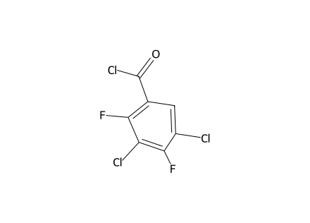 O=C(Cl)c1cc(Cl)c(F)c(Cl)c1F